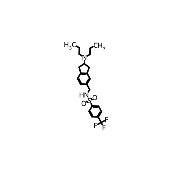 CCCN(CCC)[C@@H]1Cc2ccc(CNS(=O)(=O)c3ccc(C(F)(F)F)cc3)cc2C1